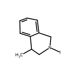 CC1CN(I)Cc2ccccc21